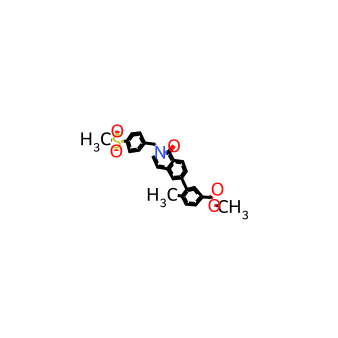 COC(=O)c1ccc(C)c(-c2ccc3c(=O)n(Cc4ccc(S(C)(=O)=O)cc4)ccc3c2)c1